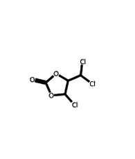 O=C1OC(Cl)C(C(Cl)Cl)O1